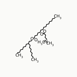 CCCCCCCCCC(CCCCCC(=O)OCCC(CCCCCCCC)CCCCCCCC)OC(=O)CCCN(C)C